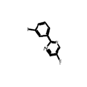 Fc1cnc(-c2cc[c]c(I)c2)nc1